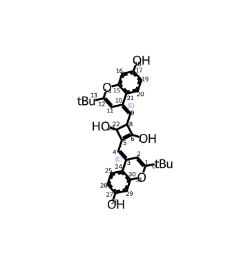 CC(C)(C)C1=C/C(=C\C2=C(O)C(/C=C3\C=C(C(C)(C)C)Oc4cc(O)ccc43)C2O)c2ccc(O)cc2O1